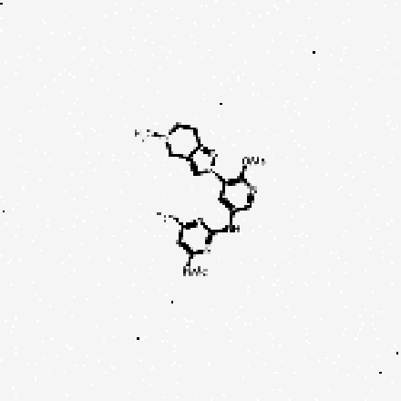 CNc1cc(C)nc(Nc2cnc(OC)c(-n3cc4c(n3)CCN(C)C4)c2)n1